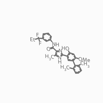 CCC(F)(F)c1cccc(NC(=O)c2nc(-c3cc(-c4c(C)cccc4C)c(OC)cc3O)[nH]c2C)c1